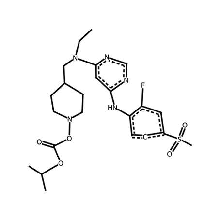 CCN(CC1CCN(OC(=O)OC(C)C)CC1)c1cc(Nc2ccc(S(C)(=O)=O)cc2F)ncn1